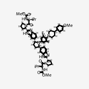 COC(=O)NC(C(=O)N1CCC[C@H]1c1nc2ccc([C@H]3CC[C@H](c4ccc5nc([C@@H]6CCCN6C(=O)[C@@H](NC(=O)OC)C(C)C)[nH]c5c4)N3c3cc(F)c(N4CCC(c5ccc(OC)cc5)CC4)c(F)c3)cc2[nH]1)C(C)C